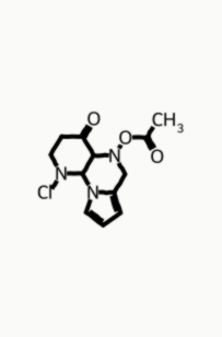 CC(=O)ON1Cc2cccn2C2C1C(=O)CCN2Cl